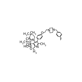 Cc1nc(C)c(C(OC(C)(C)C)C(=O)O)c(N2CCC(C)(C)CC2)c1-c1ccc(OCCN2CCN(Cc3ccc(F)cc3)CC2)cc1